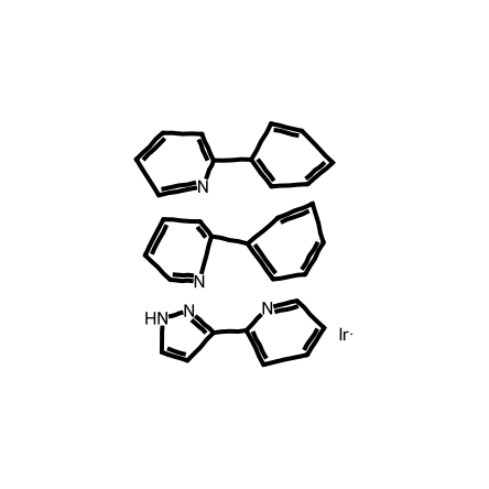 [Ir].c1ccc(-c2cc[nH]n2)nc1.c1ccc(-c2ccccn2)cc1.c1ccc(-c2ccccn2)cc1